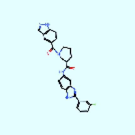 O=C(Nc1ccc2[nH]c(-c3cccc(F)c3)nc2c1)[C@@H]1CCCN(C(=O)c2ccc3[nH]ncc3c2)C1